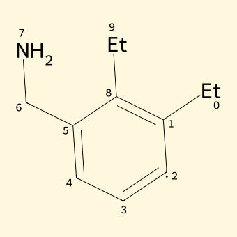 CCc1[c]ccc(CN)c1CC